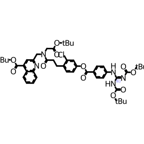 CC(C)(C)OC(=O)CN(Cc1cc(C(=O)OC(C)(C)C)c2ccccc2n1)C(=O)CCc1ccc(OC(=O)c2ccc(N/C(=N\C(=O)OC(C)(C)C)NC(=O)OC(C)(C)C)cc2)cc1Cl